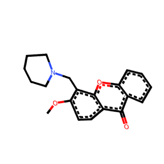 COc1ccc2c(=O)c3ccccc3oc2c1CN1CCCCC1